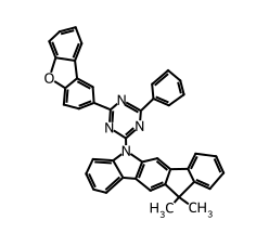 CC1(C)c2ccccc2-c2cc3c(cc21)c1ccccc1n3-c1nc(-c2ccccc2)nc(-c2ccc3oc4ccccc4c3c2)n1